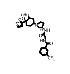 CCCCC1CC(N2CC[C@@H](NC(=O)CNC(=O)c3cccc(C(F)(F)F)c3)C2)CCC1(O)c1ccsn1